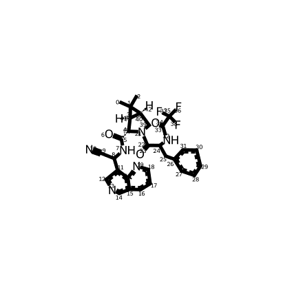 CC1(C)[C@@H]2[C@@H](C(=O)NC(C#N)c3cncc4cccnc34)N(C(=O)C(Cc3ccccc3)NC(=O)C(F)(F)F)C[C@@H]21